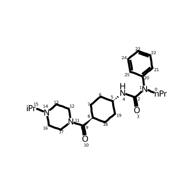 CCCN(C(=O)N[C@H]1CC[C@H](C(=O)N2CCN(C(C)C)CC2)CC1)c1ccccc1